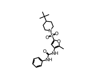 Cc1oc(S(=O)(=O)N2CCC(C(C)(C)C)CC2)cc1NC(=O)Nc1ccccc1